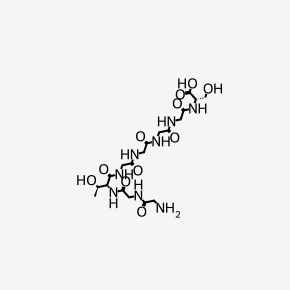 C[C@@H](O)[C@H](NC(=O)CNC(=O)CN)C(=O)NCC(=O)NCC(=O)NCC(=O)NCC(=O)N[C@@H](CO)C(=O)O